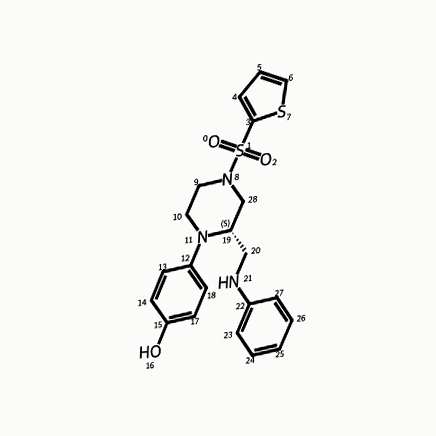 O=S(=O)(c1cccs1)N1CCN(c2ccc(O)cc2)[C@@H](CNc2ccccc2)C1